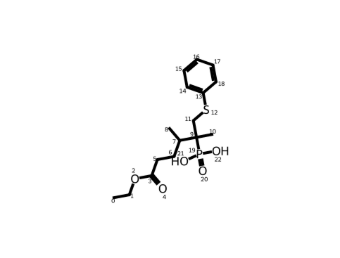 CCOC(=O)CCC(C)C(C)(CSc1ccccc1)P(=O)(O)O